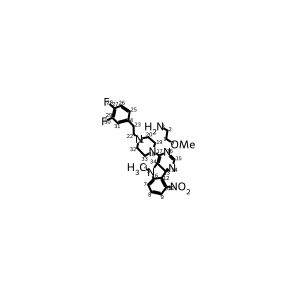 COCCN.Cn1c2cccc([N+](=O)[O-])c2c2ncnc(N3CCN(CCc4ccc(F)c(F)c4)CC3)c21